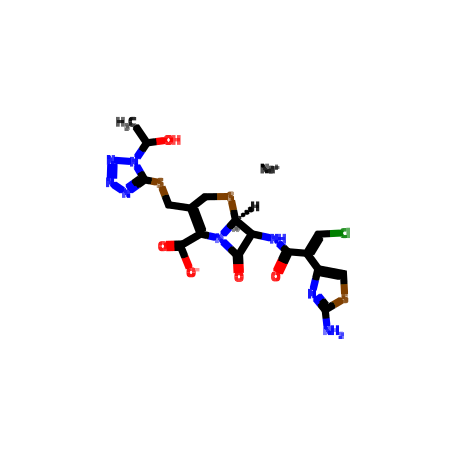 CC(O)n1nnnc1SCC1=C(C(=O)[O-])N2C(=O)C(NC(=O)C(=CCl)c3csc(N)n3)[C@@H]2SC1.[Na+]